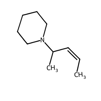 C/C=C\C(C)N1CCCCC1